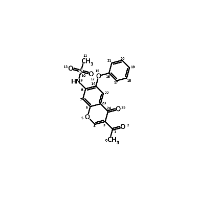 CC(=O)c1coc2cc(NS(C)(=O)=O)c(Oc3ccccc3)cc2c1=O